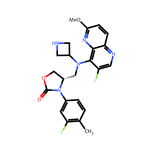 COc1ccc2ncc(F)c(N(C[C@H]3COC(=O)N3c3ccc(C)c(F)c3)C3CNC3)c2n1